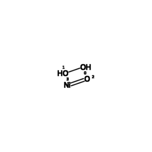 OO.[O]=[Ni]